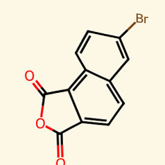 O=C1OC(=O)c2c1ccc1cc(Br)ccc21